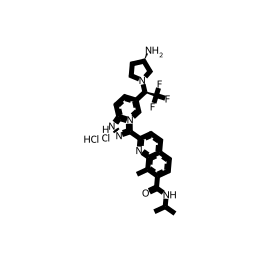 Cc1c(C(=O)NC(C)C)ccc2ccc(-c3nnc4ccc([C@@H](N5CC[C@H](N)C5)C(F)(F)F)cn34)nc12.Cl.Cl